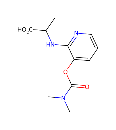 CC(Nc1ncccc1OC(=O)N(C)C)C(=O)O